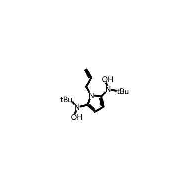 C=CCn1c(N(O)C(C)(C)C)ccc1N(O)C(C)(C)C